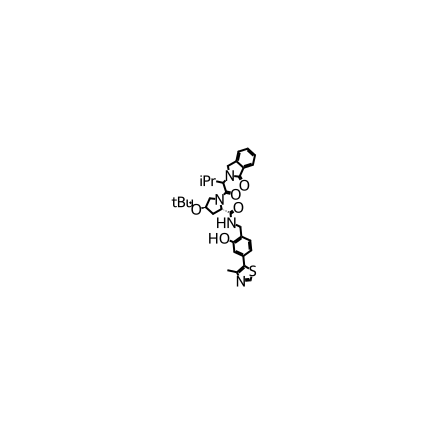 Cc1ncsc1-c1ccc(CNC(=O)[C@@H]2C[C@@H](OC(C)(C)C)CN2C(=O)C(C(C)C)N2Cc3ccccc3C2=O)c(O)c1